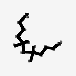 CC(C)(CCCBr)OC(C)(C)CCCBr